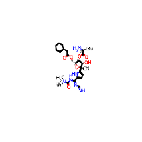 CC(C)N(C)C(=O)N/C(=N/C=N)c1ccc([C@]2(C#N)O[C@H](COC(=O)CC3CCCCC3)[C@@H](OC(=O)[C@@H](N)C(C)(C)C)[C@H]2O)[nH]1